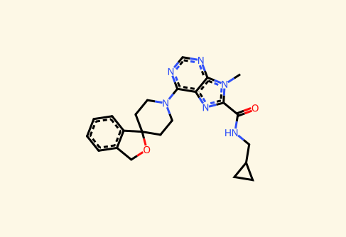 Cn1c(C(=O)NCC2CC2)nc2c(N3CCC4(CC3)OCc3ccccc34)ncnc21